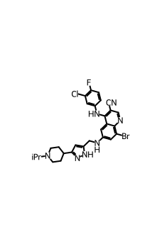 CC(C)N1CCC(c2cc(CNc3cc(Br)c4ncc(C#N)c(Nc5ccc(F)c(Cl)c5)c4c3)[nH]n2)CC1